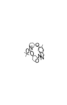 Cc1cc2cnn([C@@H]3CCCCO3)c2cc1O[C@H]1CCCN(C(=O)OC(C)(C)C)C1